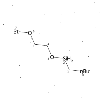 CCCCC[SiH2]OCCOCC